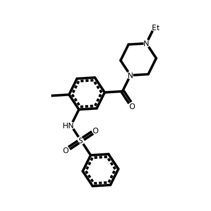 CCN1CCN(C(=O)c2ccc(C)c(NS(=O)(=O)c3ccccc3)c2)CC1